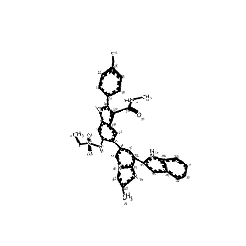 CCS(=O)(=O)Nc1cc2oc(-c3ccc(F)cc3)c(C(=O)NC)c2cc1-c1cc(-c2cc3ccccc3[nH]2)c2nc(C)cn2c1